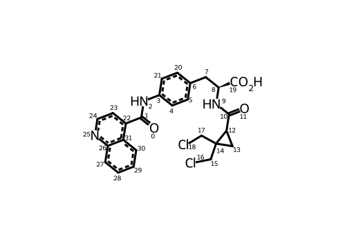 O=C(Nc1ccc(C[C@H](NC(=O)C2CC2(CCl)CCl)C(=O)O)cc1)c1ccnc2ccccc12